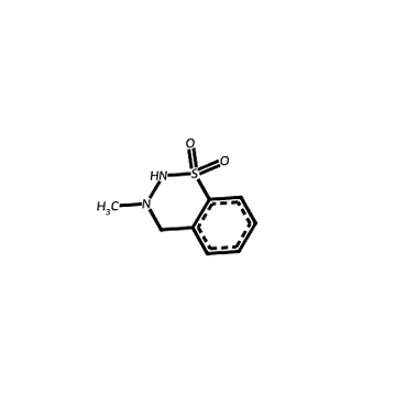 CN1Cc2ccccc2S(=O)(=O)N1